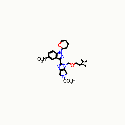 C[Si](C)(C)CCOCn1c(-c2nn(C3CCCCO3)c3ccc([N+](=O)[O-])cc23)nc2c1CN(C(=O)O)C2